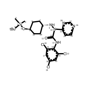 CC(C)(C)[Si](C)(C)O[C@H]1CC[C@H](NN(C(=O)Nc2c(Cl)cc(Cl)cc2Cl)c2ccncn2)CC1